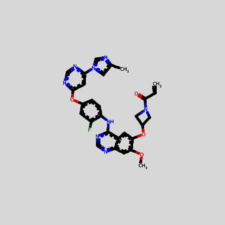 C=CC(=O)N1CC(Oc2cc3c(Nc4ccc(Oc5cc(-n6cnc(C)c6)ncn5)cc4F)ncnc3cc2OC)C1